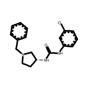 O=C(Nc1cccc(Cl)c1)N[C@@H]1CCN(Cc2ccccc2)C1